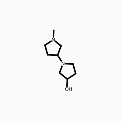 CN1CCC(N2CCC(O)C2)C1